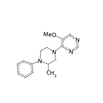 COc1cncnc1N1CCN(c2ccccc2)C(C)C1